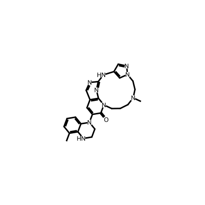 Cc1cccc2c1NCCN2c1cc2cnc3nc2n(c1=O)CCCN(C)CCn1cc(cn1)N3